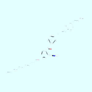 CCCCCCCCCCCCOc1ccc(C(=O)Oc2ccc(OCCCC3CCC(CCCCC)CC3)cc2)c(C#N)c1